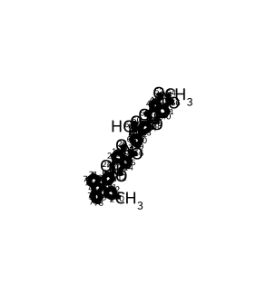 Cc1ccc(C2(c3ccc(N4C(=O)c5ccc6c7c(ccc(c57)C4=O)C(=O)N(c4ccc(-c5ccc(N7C(=O)c8ccc9c%10c(ccc(c8%10)C7=O)C(=O)N(C)C9=O)cc5S(=O)(=O)O)cc4)C6=O)cc3)c3ccccc3-c3ccccc32)cc1